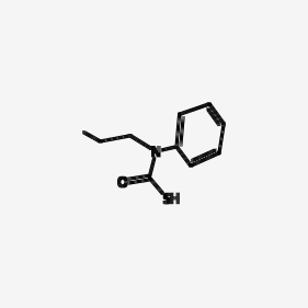 CCCN(C(=O)S)c1ccccc1